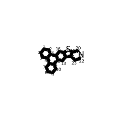 c1ccc2c(c1)c1ccccc1c1cc3c(cc21)sc1cnccc13